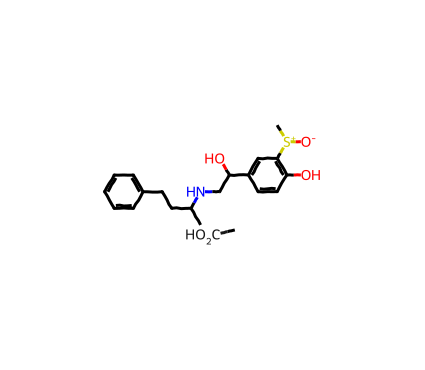 CC(=O)O.CC(CCc1ccccc1)NCC(O)c1ccc(O)c([S+](C)[O-])c1